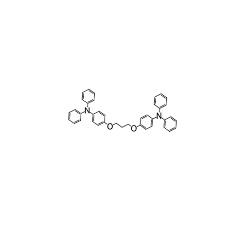 c1ccc(N(c2ccccc2)c2ccc(OCCCOc3ccc(N(c4ccccc4)c4ccccc4)cc3)cc2)cc1